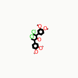 COc1ccc(C(CCl)C(=O)C(CCl)c2ccc(OC)c(OC)c2)cc1OC